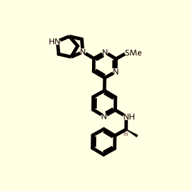 CSc1nc(-c2ccnc(N[C@@H](C)c3ccccc3)c2)cc(N2CC3CC2CN3)n1